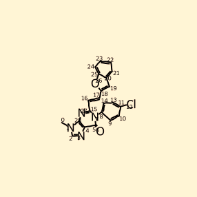 Cn1cnc2c(=O)n(-c3ccc(Cl)cc3)c(C=Cc3cc4ccccc4o3)nc21